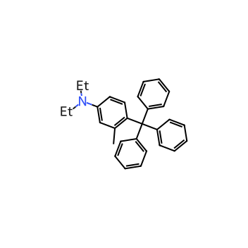 CCN(CC)c1ccc(C(c2ccccc2)(c2ccccc2)c2ccccc2)c(C)c1